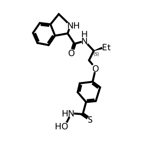 CC[C@@H](COc1ccc(C(=S)NO)cc1)NC(=O)C1NCc2ccccc21